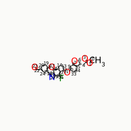 COC(=O)C[C@H]1COc2cc(OC3CCc4c(Oc5ccc(C=O)cc5C#N)ccc(F)c43)ccc21